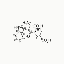 N[C@H](C(=O)O)C(C(=O)[C@@H](N)CCC(=O)O)c1c[nH]c2ccccc12